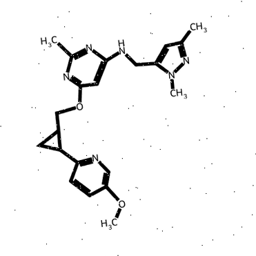 COc1ccc(C2CC2COc2cc(NCc3cc(C)nn3C)nc(C)n2)nc1